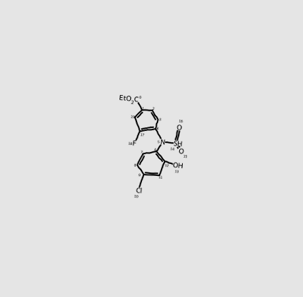 CCOC(=O)c1ccc(N(c2ccc(Cl)cc2O)[SH](=O)=O)c(F)c1